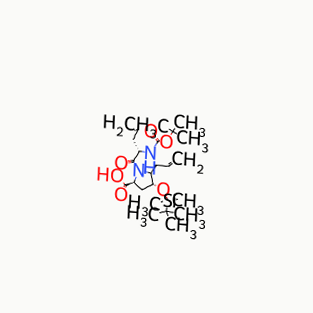 C=CC[C@H](NC(=O)OC(C)(C)C)C(=O)N1[C@H](C(=O)O)C[C@@H](O[Si](C)(C)C(C)(C)C)[C@@H]1CC=C